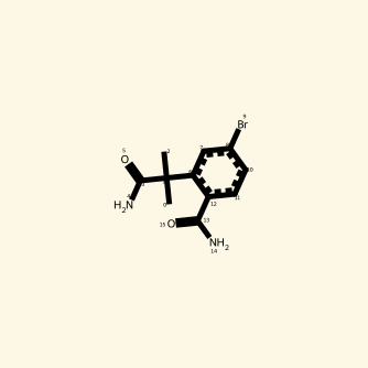 CC(C)(C(N)=O)c1cc(Br)ccc1C(N)=O